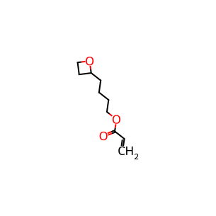 C=CC(=O)OCCCCC1CCO1